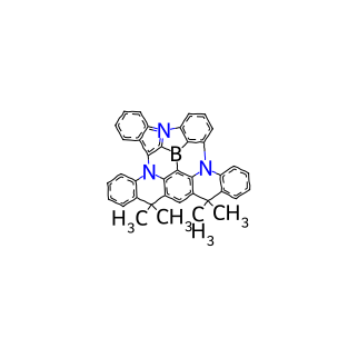 CC1(C)c2ccccc2N2c3cccc4c3B3c5c2c1cc1c5N(c2ccccc2C1(C)C)c1c3n-4c2ccccc12